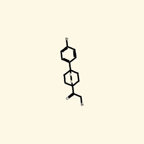 O=C(CBr)C12CCC(c3ccc(Br)cc3)(CC1)CC2